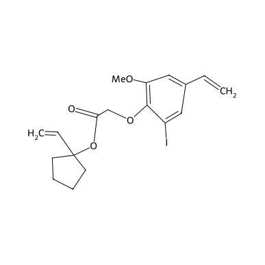 C=Cc1cc(I)c(OCC(=O)OC2(C=C)CCCC2)c(OC)c1